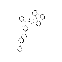 c1ccc(-c2ccc3cc(-c4ccc(N(c5ccccc5)c5ccc(C6(c7ccccc7)c7ccccc7-c7ccccc76)cc5)cc4)ccc3c2)cc1